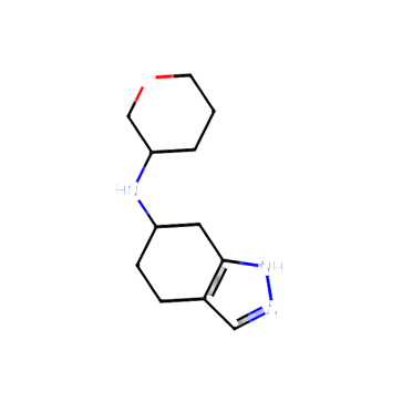 c1n[nH]c2c1CCC(NC1CCCOC1)C2